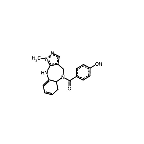 Cn1ncc2c1NC1=CC=CCC1N(C(=O)c1ccc(O)cc1)C2